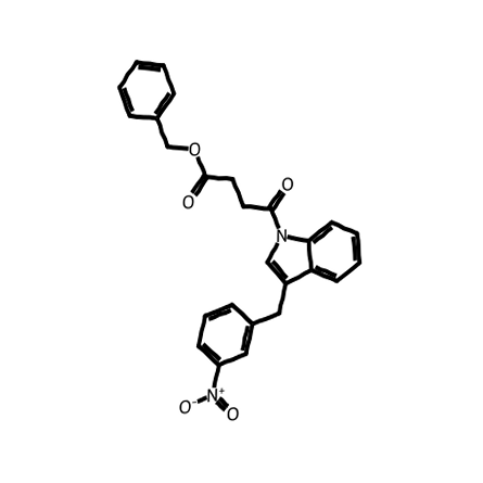 O=C(CCC(=O)n1cc(Cc2cccc([N+](=O)[O-])c2)c2ccccc21)OCc1ccccc1